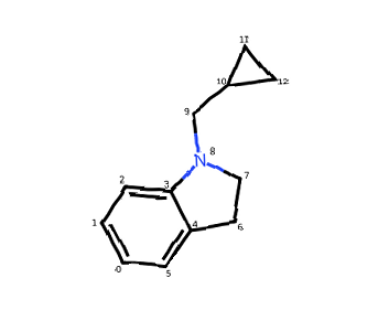 c1ccc2c(c1)CCN2CC1CC1